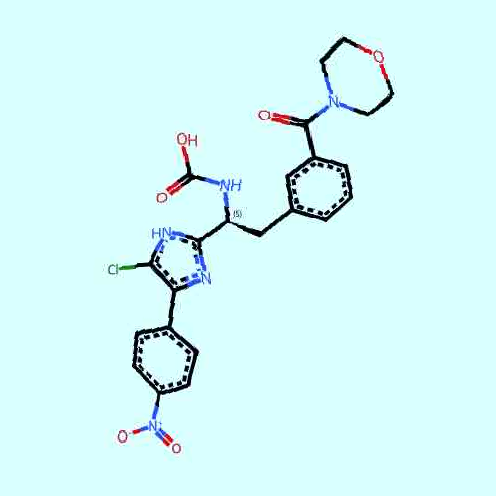 O=C(O)N[C@@H](Cc1cccc(C(=O)N2CCOCC2)c1)c1nc(-c2ccc([N+](=O)[O-])cc2)c(Cl)[nH]1